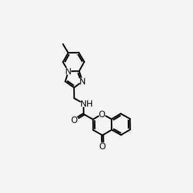 Cc1ccc2nc(CNC(=O)c3cc(=O)c4ccccc4o3)cn2c1